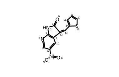 O=C1Nc2ncc([N+](=O)[O-])cc2C1=Cc1cccs1